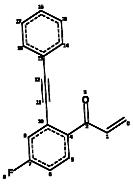 C=CC(=O)c1ccc(F)cc1C#Cc1ccccc1